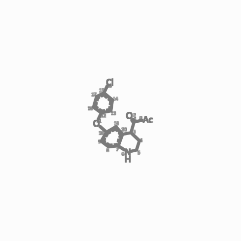 CC(=O)C(=O)C1CCNc2ccc(Oc3ccc(Cl)cc3)cc21